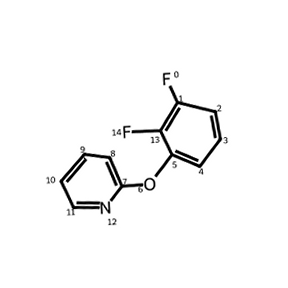 Fc1cccc(Oc2c[c]ccn2)c1F